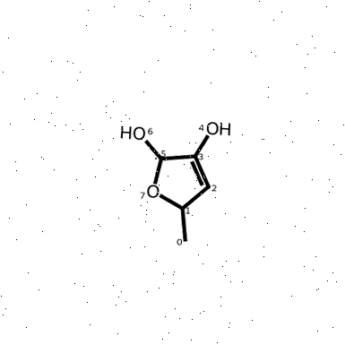 CC1C=C(O)[C](O)O1